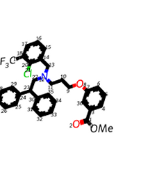 COC(=O)c1cccc(OCCCN(Cc2cccc(C(F)(F)F)c2Cl)CC(c2ccccc2)c2ccccc2)c1